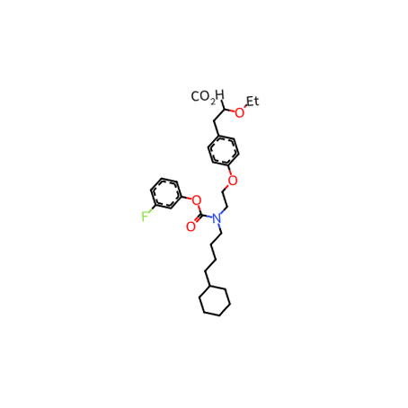 CCOC(Cc1ccc(OCCN(CCCCC2CCCCC2)C(=O)Oc2cccc(F)c2)cc1)C(=O)O